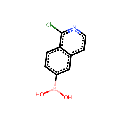 OB(O)c1ccc2c(Cl)nccc2c1